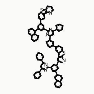 c1ccc(-c2cc(-c3ccccc3)nc(-c3cc(-c4ccc5ccccc5c4)cc(-c4cnc5sc6ccc(-c7cccc(-c8cc(-c9ccccc9)nc(-c9cc(-c%10ccc%11sc%12cccnc%12c%11c%10)cc(-c%10cccc%11ccccc%10%11)c9)n8)c7)cc6c5c4)c3)n2)cc1